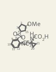 CO[C@H]1CC[C@H](S(=O)(=O)c2ccccc2C(F)(F)F)C1.N#CC1(NC(=O)O)CC1